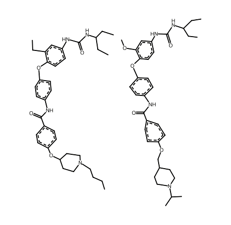 CCC(CC)NC(=O)Nc1ccc(Oc2ccc(NC(=O)c3ccc(OCC4CCN(C(C)C)CC4)cc3)cc2)c(OC)c1.CCCCN1CCC(Oc2ccc(C(=O)Nc3ccc(Oc4ccc(NC(=O)NC(CC)CC)cc4CC)cc3)cc2)CC1